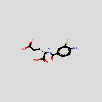 Nc1ccc(C(=O)N[C@@H](CCC(=O)O)C(=O)O)cc1F